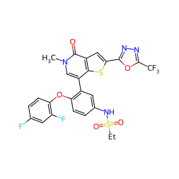 CCS(=O)(=O)Nc1ccc(Oc2ccc(F)cc2F)c(-c2cn(C)c(=O)c3cc(-c4nnc(C(F)(F)F)o4)sc23)c1